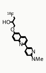 CNc1ccc(-c2ccc3cc(OCC(O)C[18F])ccc3n2)cn1